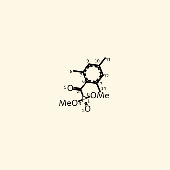 COP(=O)(OC)C(=O)c1c(C)cc(C)cc1C